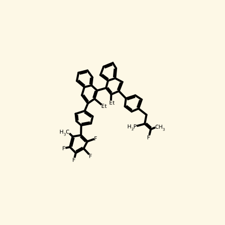 CCc1c(-c2ccc(C/C(P)=C(\C)F)cc2)cc2ccccc2c1-c1c(CC)c(-c2ccc(-c3c(C)c(F)c(F)c(F)c3F)cc2)cc2ccccc12